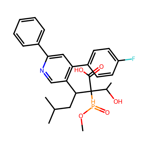 CO[PH](=O)C(C(=O)O)(C(C)O)C(CC(C)C)c1cnc(-c2ccccc2)cc1-c1ccc(F)cc1